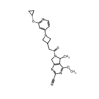 COc1nc(C#N)nc2c1C(C)N(C(=O)CC1CN(c3ccnc(OC4CC4)c3)C1)C2